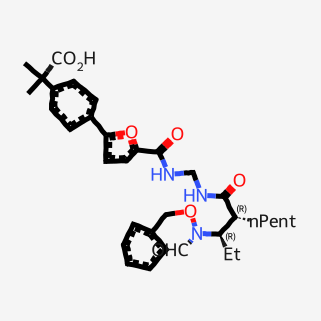 CCCCC[C@@H](C(=O)NCNC(=O)c1ccc(-c2ccc(C(C)(C)C(=O)O)cc2)o1)[C@@H](CC)N(C=O)OCc1ccccc1